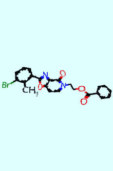 Cc1c(Br)cccc1-c1nc2c(=O)n(CCOC(=O)c3ccccc3)ccc2o1